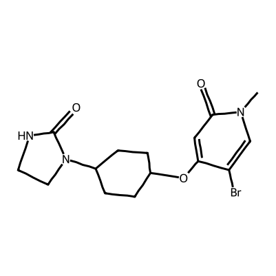 Cn1cc(Br)c(OC2CCC(N3CCNC3=O)CC2)cc1=O